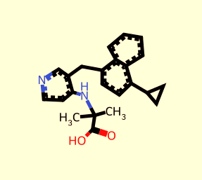 CC(C)(Nc1ccncc1Cc1ccc(C2CC2)c2ccccc12)C(=O)O